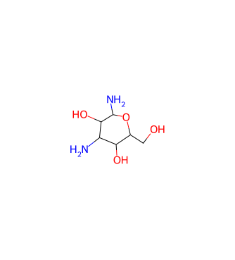 NC1OC(CO)C(O)C(N)C1O